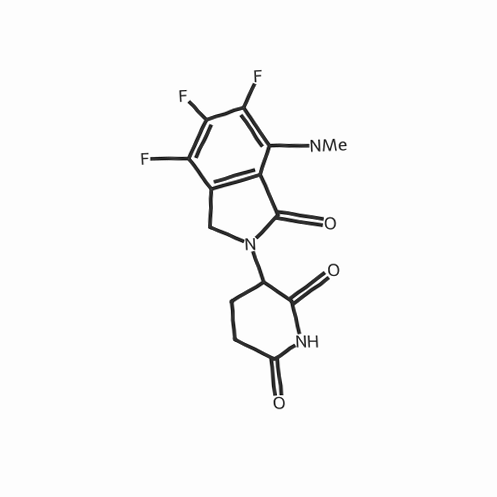 CNc1c(F)c(F)c(F)c2c1C(=O)N(C1CCC(=O)NC1=O)C2